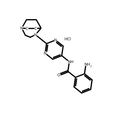 Cl.Nc1ccccc1C(=O)Nc1cnc(N2CCN3CCC2CC3)nc1